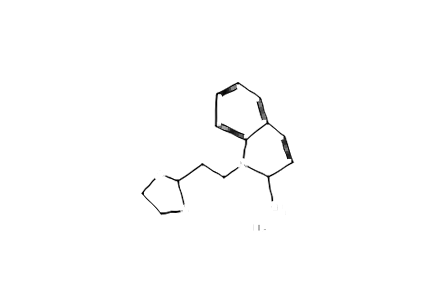 Br.CC1C=Cc2ccccc2N1CCC1OCCO1